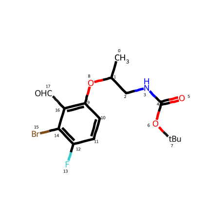 CC(CNC(=O)OC(C)(C)C)Oc1ccc(F)c(Br)c1C=O